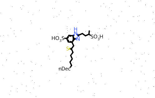 CCCCCCCCCCCCCCCC(=S)Cc1cc(S(=O)(=O)O)cc2[nH]c(CCC(C)S(=O)(=O)O)nc12